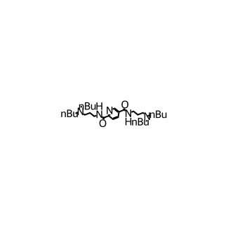 CCCCN(CCCC)CCCNC(=O)c1ccc(C(=O)NCCCN(CCCC)CCCC)nc1